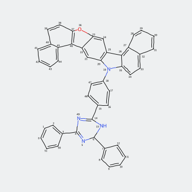 c1ccc(C2=NC(c3ccccc3)NC(c3ccc(-n4c5cc6c(cc5c5c7ccccc7ccc54)oc4ccc5ccccc5c46)cc3)=N2)cc1